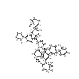 Cc1ccccc1-c1ccc2c(c1)c1cc(-c3ccccc3C)ccc1n2-c1cc(-c2ccc(C#N)cc2)c(-n2c3ccc(-c4ccccc4C)cc3c3cc(-c4ccccc4C)ccc32)cn1